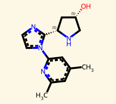 Cc1cc(C)nc(-n2ccnc2[C@@H]2C[C@H](O)CN2)c1